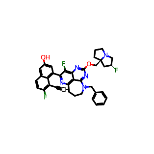 C#Cc1c(F)ccc2cc(O)cc(-c3nc4c5c(nc(OC[C@@]67CCCN6C[C@H](F)C7)nc5c3F)N(Cc3ccccc3)CCC4)c12